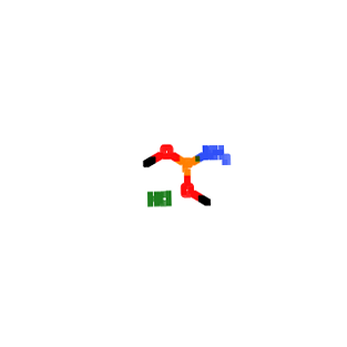 COP(N)OC.Cl